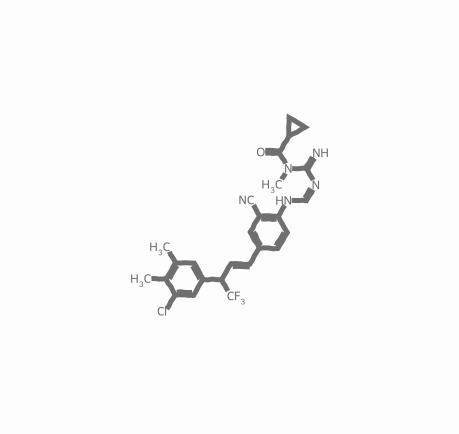 Cc1cc(C(/C=C/c2ccc(N/C=N\C(=N)N(C)C(=O)C3CC3)c(C#N)c2)C(F)(F)F)cc(Cl)c1C